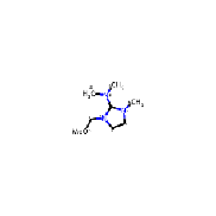 COCN1CCN(C)C1N(C)C